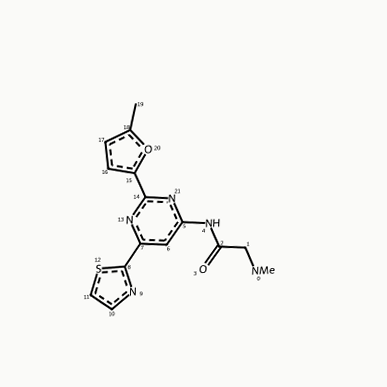 CNCC(=O)Nc1cc(-c2nccs2)nc(-c2ccc(C)o2)n1